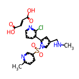 CNCc1cc(-c2cccnc2Cl)n(S(=O)(=O)c2ccc(C)nc2)c1.O=C(O)C=CC(=O)O